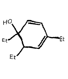 CCC1=CC(CC)C(O)(CC)C=C1